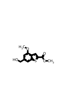 COC(=O)c1cc2c(OC)cc(CO)cc2s1